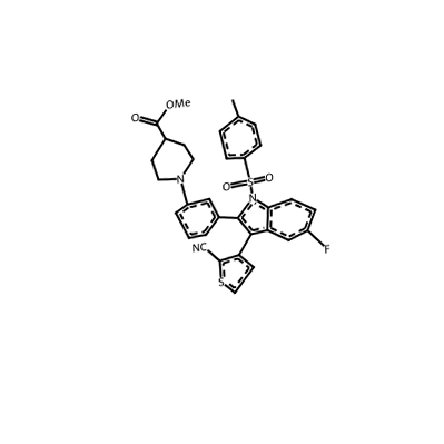 COC(=O)C1CCN(c2cccc(-c3c(-c4ccsc4C#N)c4cc(F)ccc4n3S(=O)(=O)c3ccc(C)cc3)c2)CC1